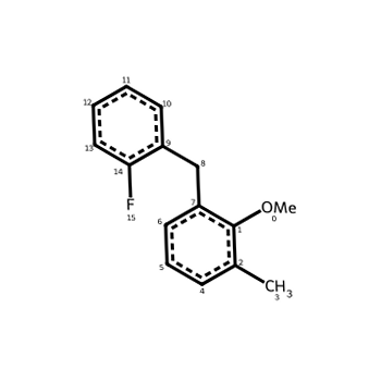 COc1c(C)cccc1Cc1ccccc1F